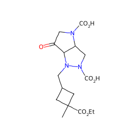 CCOC(=O)C1(C)CC(CN2C3C(=O)CN(C(=O)O)C3CN2C(=O)O)C1